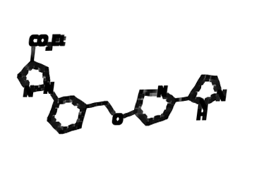 CCOC(=O)c1cnn(-c2cccc(COc3ccc(-c4ccn[nH]4)nc3)c2)c1